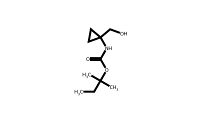 CCC(C)(C)OC(=O)NC1(CO)CC1